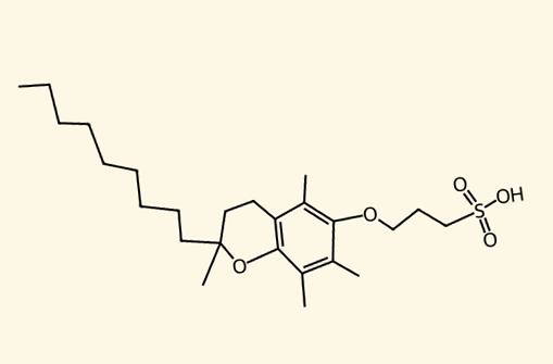 CCCCCCCCCC1(C)CCc2c(C)c(OCCCS(=O)(=O)O)c(C)c(C)c2O1